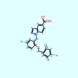 O=C(O)c1ccc2c(ccn2Cc2cc(F)ccc2OCc2cc(F)c(F)cc2Cl)c1